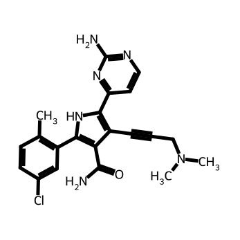 Cc1ccc(Cl)cc1-c1[nH]c(-c2ccnc(N)n2)c(C#CCN(C)C)c1C(N)=O